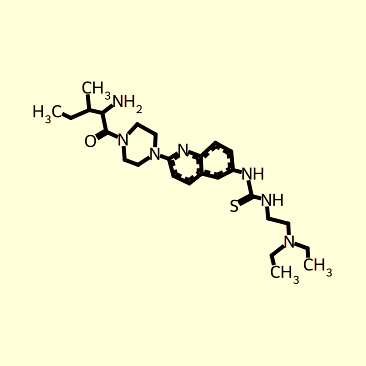 CCC(C)C(N)C(=O)N1CCN(c2ccc3cc(NC(=S)NCCN(CC)CC)ccc3n2)CC1